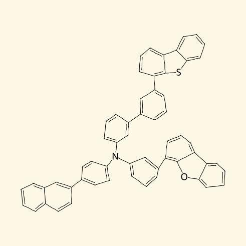 c1cc(-c2cccc(N(c3ccc(-c4ccc5ccccc5c4)cc3)c3cccc(-c4cccc5c4oc4ccccc45)c3)c2)cc(-c2cccc3c2sc2ccccc23)c1